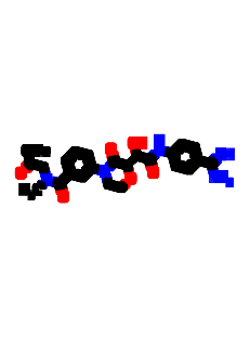 COC(=O)CN(C)C(=O)c1cccc(N2CCO[C@H](C(O)C(=O)Nc3ccc(C(=N)N)cc3)C2=O)c1